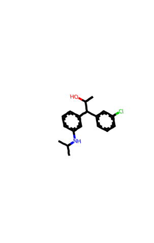 CC(C)Nc1cccc(C(c2cccc(Cl)c2)C(C)O)c1